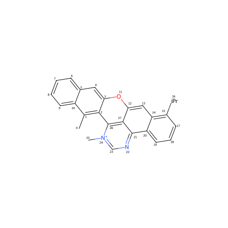 Cc1c2c(cc3ccccc13)Oc1cc3c(C(C)C)cccc3c3nc[n+](C)c-2c13